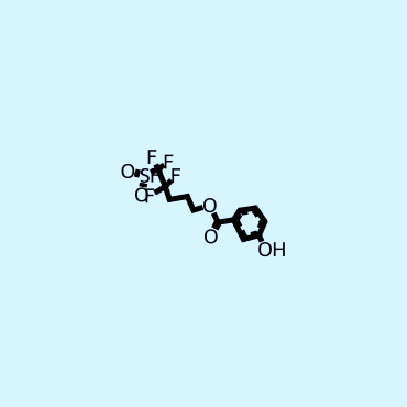 O=C(OCCCC(F)(F)C(F)(F)[SH](=O)=O)c1cccc(O)c1